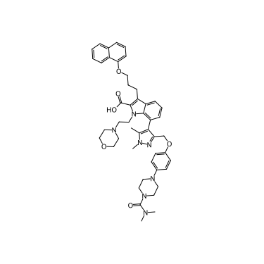 Cc1c(-c2cccc3c(CCCOc4cccc5ccccc45)c(C(=O)O)n(CCN4CCOCC4)c23)c(COc2ccc(N3CCN(C(=O)N(C)C)CC3)cc2)nn1C